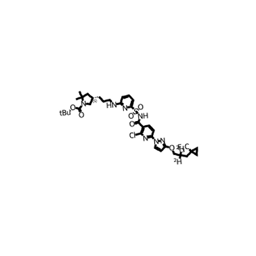 [2H]C([2H])(COc1ccn(-c2ccc(C(=O)NS(=O)(=O)c3cccc(NCCC[C@@H]4CN(C(=O)OC(C)(C)C)C(C)(C)C4)n3)c(Cl)n2)n1)CC1(C(F)(F)F)CC1